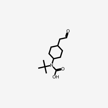 CC(C)(C)N(C(=O)O)C1CCC(CC=O)CC1